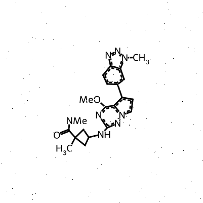 CNC(=O)C1(C)CC(Nc2nc(OC)c3c(-c4ccc5nnn(C)c5c4)ccn3n2)C1